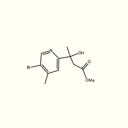 COC(=O)CC(C)(O)c1cc(C)c(Br)cn1